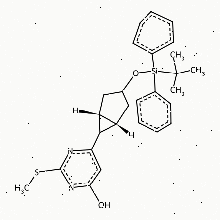 CSc1nc(O)cc(C2[C@H]3CC(O[Si](c4ccccc4)(c4ccccc4)C(C)(C)C)C[C@@H]23)n1